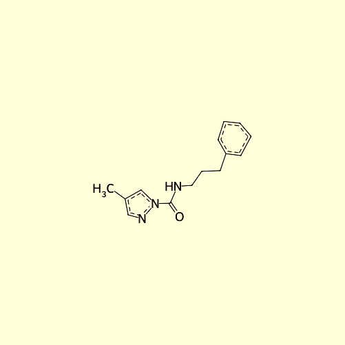 Cc1cnn(C(=O)NCCCc2ccccc2)c1